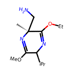 CCOC1=NC(C(C)C)C(OC)=N[C@@]1(C)CN